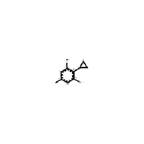 Cc1cc(F)c(C2CC2)c(F)c1